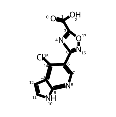 O=C(O)c1nc(-c2cnc3[nH]ccc3c2Cl)no1